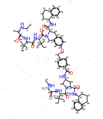 CCNC(C)C(=O)NC(C(=O)NC(C(=O)N1Cc2cc(OCc3ccc(C(=O)NC4CC(C(=O)NC5CCCc6ccccc65)N(C(=O)C(NC(=O)[C@H](C)NC)C(C)(C)C)C4)cc3)ccc2CC1C(=O)NC1CCCc2ccccc21)C(C)(C)C)C(C)(C)C